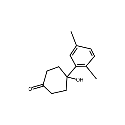 Cc1ccc(C)c(C2(O)CCC(=O)CC2)c1